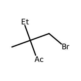 CCC(C)(CBr)C(C)=O